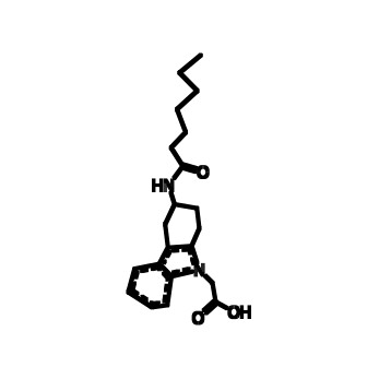 CCCCCCC(=O)NC1CCc2c(c3ccccc3n2CC(=O)O)C1